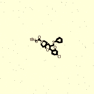 CC(C)(C)OC(=O)N1CCC2(CC1)COC1c3ccc(Cl)cc3OC(Sc3ccccc3)C1C2